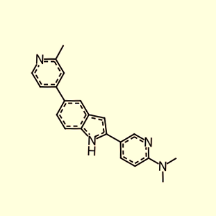 Cc1cc(-c2ccc3[nH]c(-c4ccc(N(C)C)nc4)cc3c2)ccn1